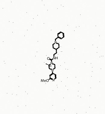 COc1cc(N2CCN(C(=O)NCCC3CCN(Cc4ccccc4)CC3)[C@H](C)C2)ccn1